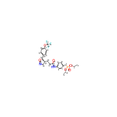 CCOP(=O)(Cc1ccc(NC(=O)CCc2cnoc2-c2ccc(OC(F)(F)F)cc2)cc1)OCC